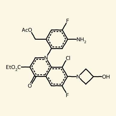 CCOC(=O)c1cn(-c2cc(N)c(F)cc2COC(C)=O)c2c(Cl)c(N3CC(O)C3)c(F)cc2c1=O